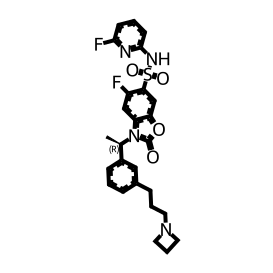 C[C@H](c1cccc(CCCN2CCC2)c1)n1c(=O)oc2cc(S(=O)(=O)Nc3cccc(F)n3)c(F)cc21